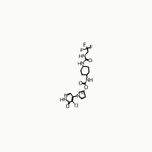 O=C(NCC(F)(F)F)NC1CCC(NC(=O)O[C@@H]2CCN(c3cn[nH]c(=O)c3Cl)C2)CC1